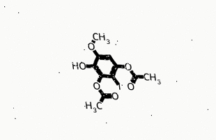 COc1cc(OC(C)=O)c(I)c(OC(C)=O)c1O